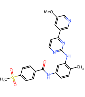 COc1cncc(-c2ccnc(Nc3cc(NC(=O)c4ccc(S(C)(=O)=O)cc4)ccc3C)n2)c1